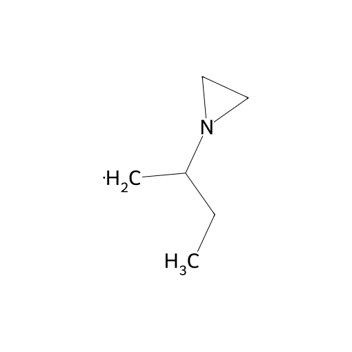 [CH2]C(CC)N1CC1